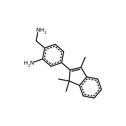 CC1=C(c2ccc(CN)c(N)c2)C(C)(C)c2ccccc21